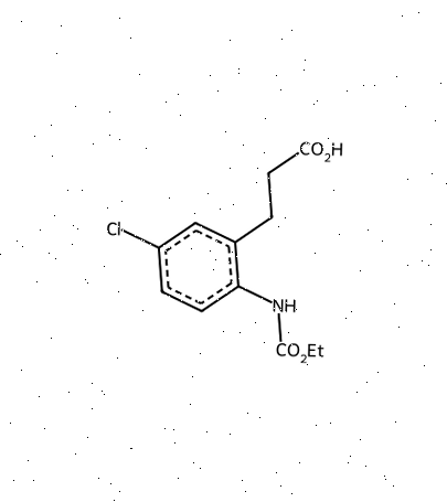 CCOC(=O)Nc1ccc(Cl)cc1CCC(=O)O